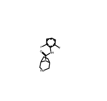 O=C(Nc1c(F)cccc1F)N1C2CCC1CNC2